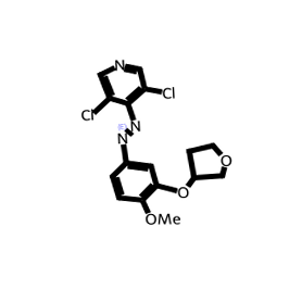 COc1ccc(/N=N/c2c(Cl)cncc2Cl)cc1OC1CCOC1